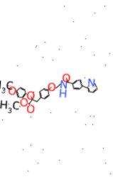 CCOC(=O)C(Cc1ccc(OCCNC(=O)c2ccc(-c3ccccn3)cc2)cc1)Oc1ccc(OC)cc1